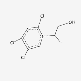 [CH2]C(CO)c1cc(Cl)c(Cl)cc1Cl